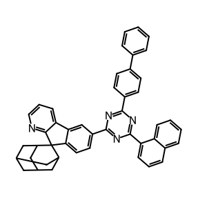 c1ccc(-c2ccc(-c3nc(-c4ccc5c(c4)-c4cccnc4C54C5CC6CC(C5)CC4C6)nc(-c4cccc5ccccc45)n3)cc2)cc1